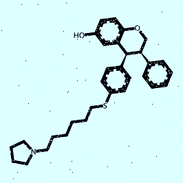 Oc1ccc2c(c1)[C@H](c1ccc(SCCCCCCN3CCCC3)cc1)[C@H](c1ccccc1)CO2